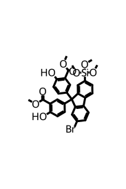 COC(=O)c1cc(C2(c3ccc(O)c(C(=O)OC)c3)c3cc(Br)ccc3-c3ccc([Si](OC)(OC)OC)cc32)ccc1O